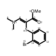 COC(=O)/C(=C/N(C)C)Sc1ccccc1Br